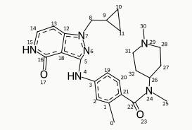 Cc1cc(Nc2nn(CC3CC3)c3cc[nH]c(=O)c23)ccc1C(=O)N(C)C1CCN(C)CC1